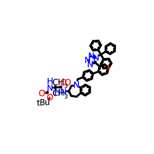 CC(C)(C)OC(=O)NC(C)(C)C(=O)NC1CCc2ccccc2N(Cc2ccc(-c3ccccc3-c3nnnn3C(c3ccccc3)(c3ccccc3)c3ccccc3)cc2)C1=O